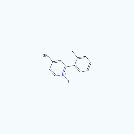 Cc1ccccc1-c1cc(C(C)(C)C)cc[n+]1I